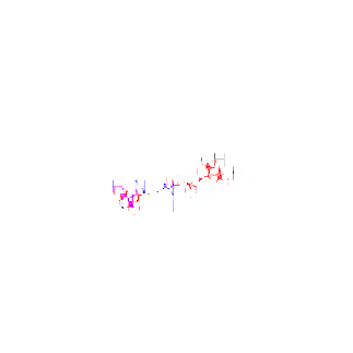 CC(=O)OCC(COC(=O)CCC(=O)NCCCCC(N)C(=O)ON1C(=O)CCC1=O)OC(C)=O